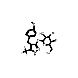 COc1ccc(Cc2c(OC3OC(CO)C(F)C(O)C3O)n[nH]c2C(F)(F)F)cc1